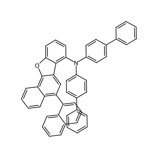 c1ccc(-c2ccc(N(c3ccc(-c4ccccc4)cc3)c3cccc4oc5c6ccccc6c(-c6cccc7ccccc67)cc5c34)cc2)cc1